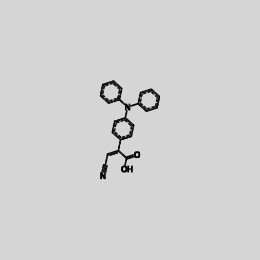 N#C/C=C(\C(=O)O)c1ccc(N(c2ccccc2)c2ccccc2)cc1